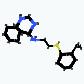 Cc1ccccc1SCCNc1ncnc2ccccc12